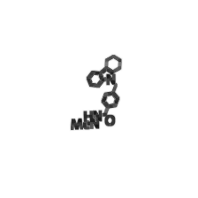 CNNC(=O)c1ccc(Cn2c3c(c4ccccc42)CCCC3)cc1